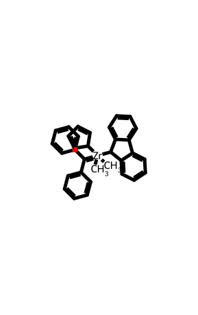 [CH3][Zr]([CH3])(=[C](c1ccccc1)c1ccccc1)([CH]1C=CC=C1)[CH]1c2ccccc2-c2ccccc21